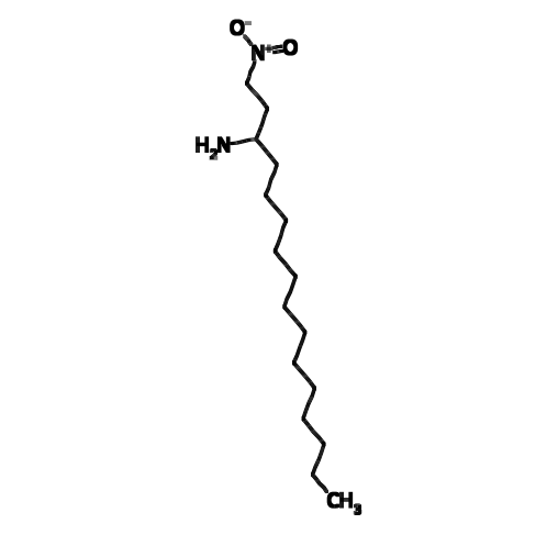 CCCCCCCCCCCCCC(N)CC[N+](=O)[O-]